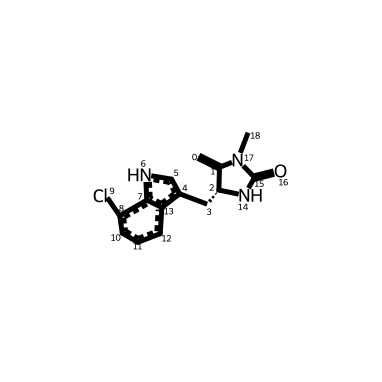 C=C1[C@@H](Cc2c[nH]c3c(Cl)cccc23)NC(=O)N1C